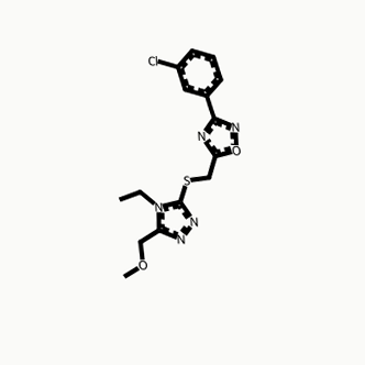 CCn1c(COC)nnc1SCc1nc(-c2cccc(Cl)c2)no1